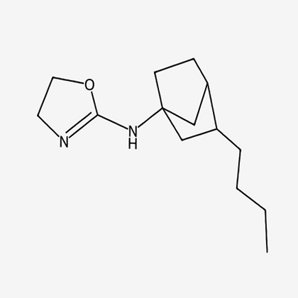 CCCCC1CC2(NC3=NCCO3)CCC1C2